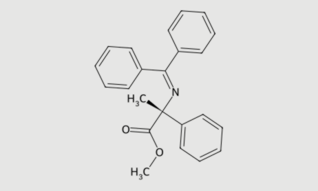 COC(=O)[C@](C)(N=C(c1ccccc1)c1ccccc1)c1ccccc1